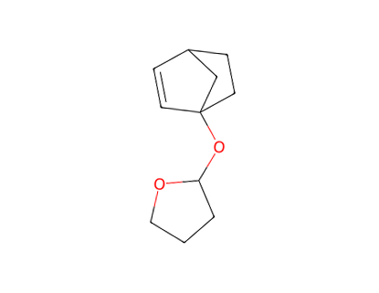 C1=CC2(OC3CCCO3)CCC1C2